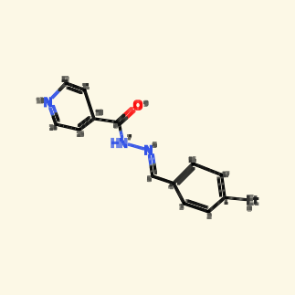 CCc1ccc(/C=N/NC(=O)c2ccncc2)cc1